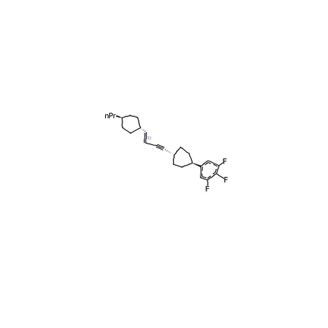 CCC[C@H]1CC[C@H](/C=C/C#C[C@H]2CC[C@H](c3cc(F)c(F)c(F)c3)CC2)CC1